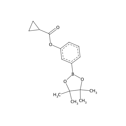 CC1(C)OB(c2cccc(OC(=O)C3CC3)c2)OC1(C)C